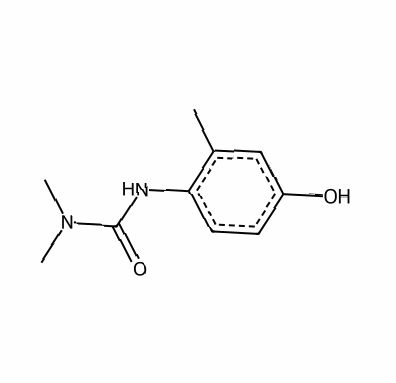 Cc1cc(O)ccc1NC(=O)N(C)C